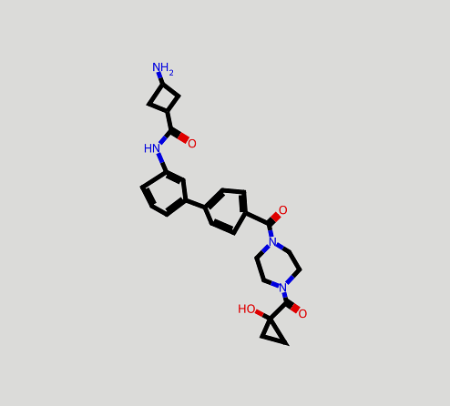 NC1CC(C(=O)Nc2cccc(-c3ccc(C(=O)N4CCN(C(=O)C5(O)CC5)CC4)cc3)c2)C1